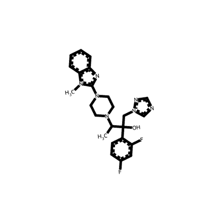 CC(N1CCN(c2nc3ccccc3n2C)CC1)C(O)(Cn1cncn1)c1ccc(F)cc1F